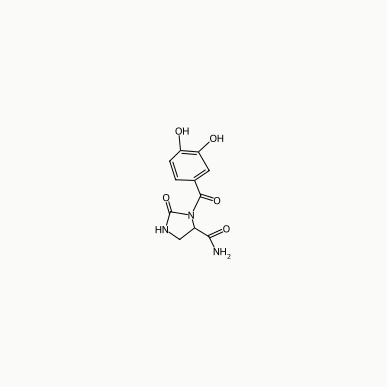 NC(=O)C1CNC(=O)N1C(=O)c1ccc(O)c(O)c1